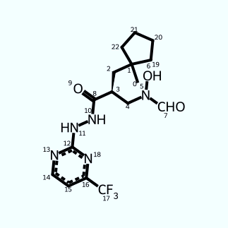 CC1(C[C@@H](CN(O)C=O)C(=O)NNc2nccc(C(F)(F)F)n2)CCCC1